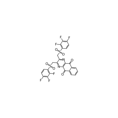 O=C1c2ccccc2C(=O)c2nc(CS(=O)(=O)c3ccc(F)c(F)c3F)c(CS(=O)(=O)c3ccc(F)c(F)c3F)nc21